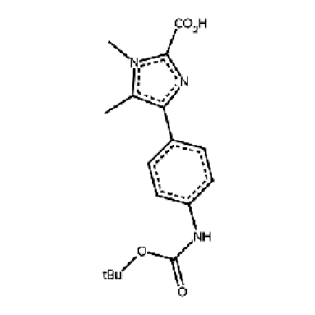 Cc1c(-c2ccc(NC(=O)OC(C)(C)C)cc2)nc(C(=O)O)n1C